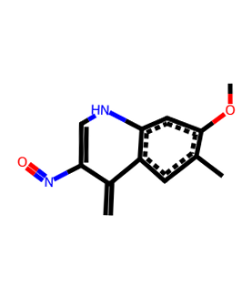 C=C1C(N=O)=CNc2cc(OC)c(C)cc21